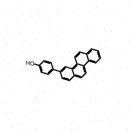 Oc1ccc(-c2ccc3ccc4c5ccccc5ccc4c3c2)cc1